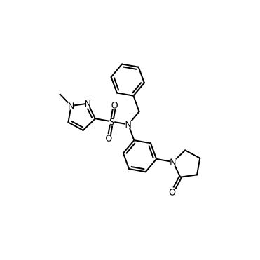 Cn1ccc(S(=O)(=O)N(Cc2ccccc2)c2cccc(N3CCCC3=O)c2)n1